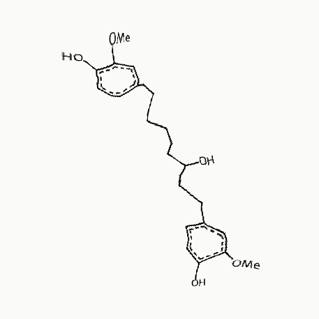 COc1cc(CCCCC(O)CCc2ccc(O)c(OC)c2)ccc1O